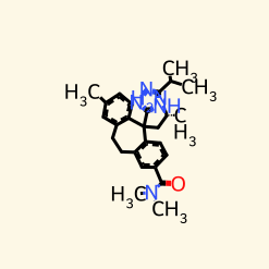 Cc1ccc2c(c1)CCc1cc(C(=O)N(C)C)ccc1C2(C[C@@H](C)N)c1nnc(C(C)C)[nH]1